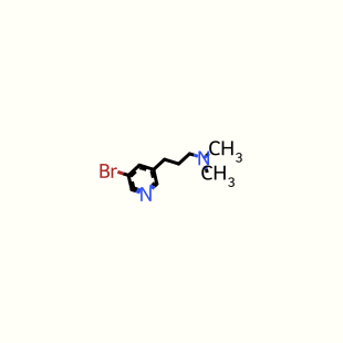 CN(C)CCCc1cncc(Br)c1